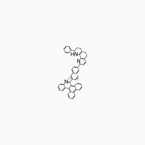 C/C=C\C(=C/c1ccc(-c2ccc3c(n2)C2=C(CC3)CCC(c3ccccc3)N2)cc1)c1nc2ccccc2c2c3ccccc3c3ccccc3c12